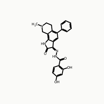 CN1CCc2c(-c3ccccc3)cc3c(c2C1)NC(=O)C3=NNC(=O)c1ccc(O)cc1O